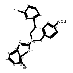 O=C(O)c1ccc(CN(CCc2cccc(F)c2)c2nc3cccc(F)c3s2)cc1